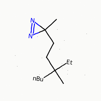 CCCCC(C)(CC)CCC1(C)N=N1